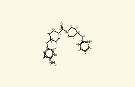 Nc1ncc(CN2CCC(C(=O)N3CCC(Cc4ncccn4)CC3)CC2)cn1